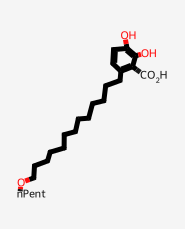 CCCCCOCCCCCCCCCCCCCc1ccc(O)c(O)c1C(=O)O